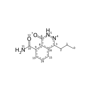 CCCc1n[nH]c(=O)c2c(C(N)=O)[c]ccc12